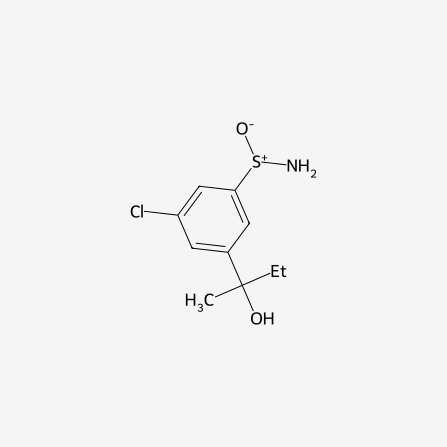 CCC(C)(O)c1cc(Cl)cc([S+](N)[O-])c1